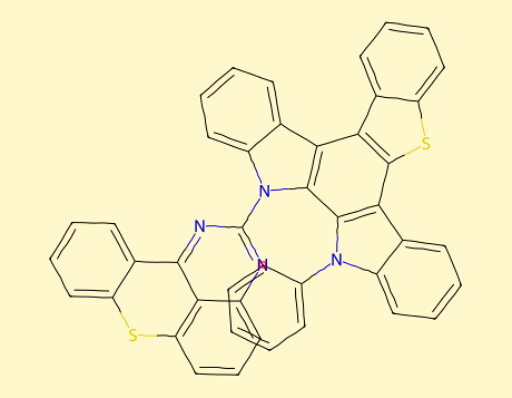 c1ccc(-n2c3ccccc3c3c4sc5ccccc5c4c4c5ccccc5n(-c5nc6c7c(cccc7n5)Sc5ccccc5-6)c4c32)cc1